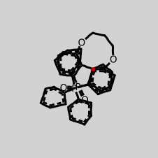 O=P(c1ccccc1)(c1ccccc1)c1cccc2c1-c1c(cccc1P(=O)(c1ccccc1)c1ccccc1)OCCCO2